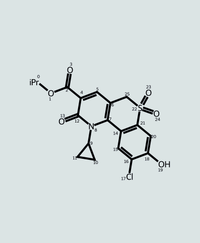 CC(C)OC(=O)c1cc2c(n(C3CC3)c1=O)-c1cc(Cl)c(O)cc1S(=O)(=O)C2